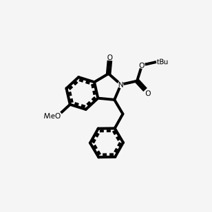 COc1ccc2c(c1)C(Cc1ccccc1)N(C(=O)OC(C)(C)C)C2=O